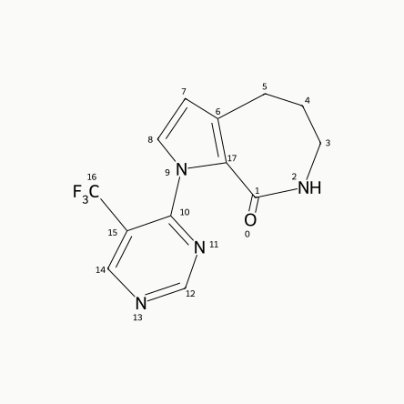 O=C1NCCCc2ccn(-c3ncncc3C(F)(F)F)c21